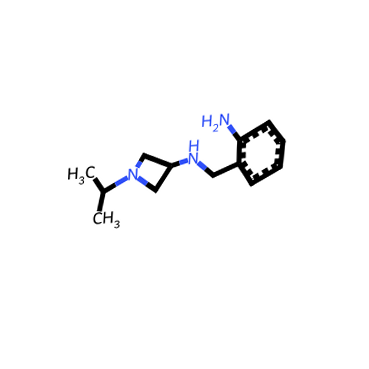 CC(C)N1CC(NCc2ccccc2N)C1